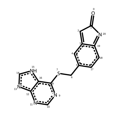 O=C1C=c2cc(CSc3ncnc4nc[nH]c34)ccc2=N1